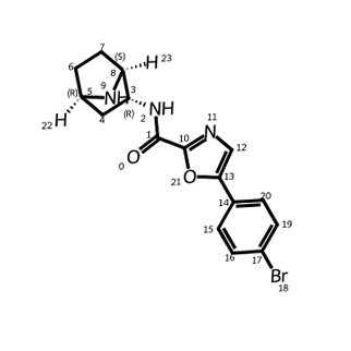 O=C(N[C@@H]1C[C@H]2CC[C@@H]1N2)c1ncc(-c2ccc(Br)cc2)o1